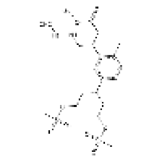 Cc1ccc(N(CCOS(C)(=O)=O)CCOS(C)(=O)=O)cc1C(CNBC=O)CC(=O)OC(C)(C)C